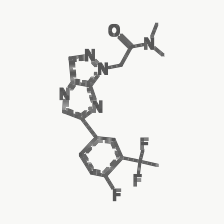 CN(C)C(=O)Cn1ncc2ncc(-c3ccc(F)c(C(C)(F)F)c3)nc21